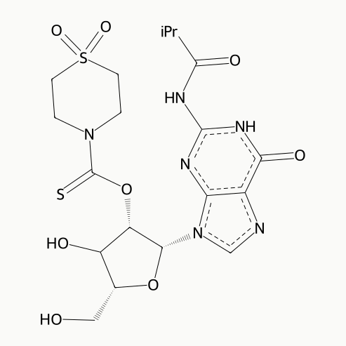 CC(C)C(=O)Nc1nc2c(ncn2[C@@H]2O[C@H](CO)C(O)[C@@H]2OC(=S)N2CCS(=O)(=O)CC2)c(=O)[nH]1